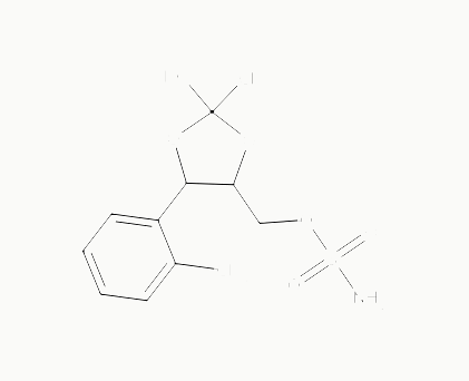 Cc1ccccc1C1OC(C)(C)OC1COS(N)(=O)=O